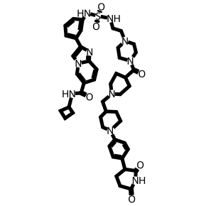 O=C1CCC(c2ccc(N3CCC(CN4CCC(C(=O)N5CCN(CCNS(=O)(=O)Nc6cccc(-c7cn8cc(C(=O)NC9CCC9)ccc8n7)c6)CC5)CC4)CC3)cc2)C(=O)N1